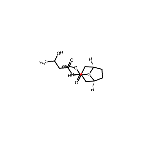 CC(O)CC(=O)N[C@H]1C[C@H]2CC[C@@H](C1)N2C(=O)OC(C)(C)C